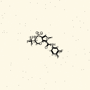 Cn1cc2c(c1C(=O)Nc1ccc(F)c(F)c1)OC[C@@H](C(F)(F)F)NS2(=O)=O